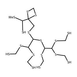 CSC(S)C1(CSC(SC(SCS)C(SCS)SCS)C(SCS)SCS)SCS1